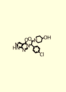 O=C(C(c1ccc(Cl)cc1)n1cnc2[nH]ncc2c1=O)N1CCC(O)CC1